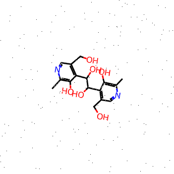 Cc1ncc(CO)c(C(O)C(O)c2c(CO)cnc(C)c2O)c1O